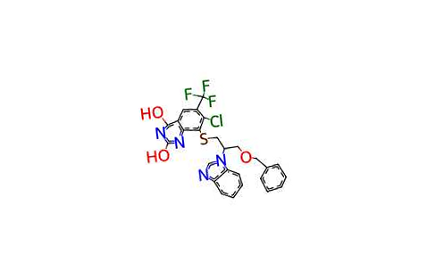 Oc1nc(O)c2cc(C(F)(F)F)c(Cl)c(SCC(COCc3ccccc3)n3cnc4ccccc43)c2n1